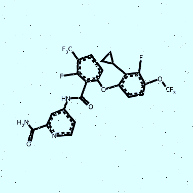 NC(=O)c1cc(NC(=O)c2c(Oc3ccc(OC(F)(F)F)c(F)c3C3CC3)ccc(C(F)(F)F)c2F)ccn1